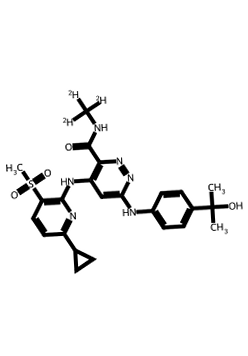 [2H]C([2H])([2H])NC(=O)c1nnc(Nc2ccc(C(C)(C)O)cc2)cc1Nc1nc(C2CC2)ccc1S(C)(=O)=O